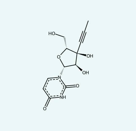 CC#C[C@@]1(O)[C@@H](CO)O[C@@H](n2ccc(=O)[nH]c2=O)[C@@H]1O